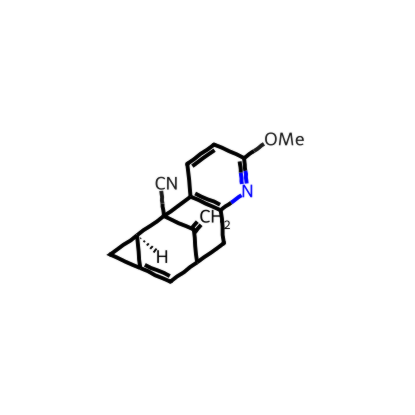 C=C1C2C=C3C[C@H]3C1(C#N)c1ccc(OC)nc1C2